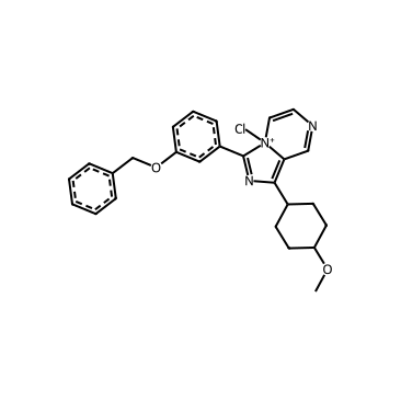 COC1CCC(C2=C3C=NC=C[N+]3(Cl)C(c3cccc(OCc4ccccc4)c3)=N2)CC1